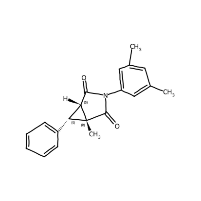 Cc1cc(C)cc(N2C(=O)[C@H]3[C@@H](c4ccccc4)[C@@]3(C)C2=O)c1